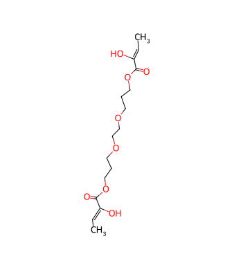 CC=C(O)C(=O)OCCCOCCOCCCOC(=O)C(O)=CC